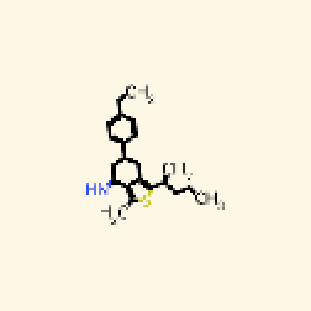 C=C(CCC)c1sc(C)c2c1CC(c1ccc(CC)cc1)CC2=N